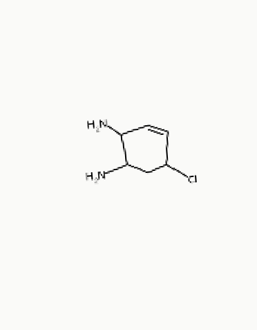 NC1C=CC(Cl)CC1N